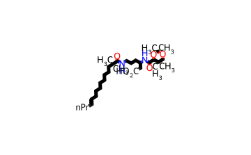 CCCC=CCCCCCCCCC(C)(C)C(=O)NCCCC(CC(=O)O)NC(=O)C1OC(C)(C)OCC1(C)C